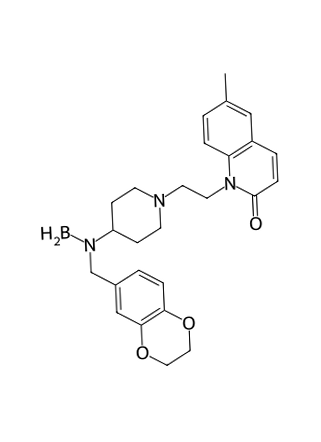 BN(Cc1ccc2c(c1)OCCO2)C1CCN(CCn2c(=O)ccc3cc(C)ccc32)CC1